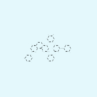 Cc1cc(-c2ccccc2)nc2c1ccc1ccc(-c3ccccc3-c3cc(-c4ccccc4)cc(-c4ccccc4)n3)nc12